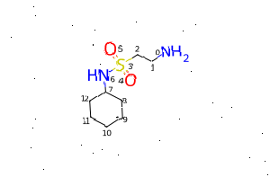 NCCS(=O)(=O)NC1C[CH]CCC1